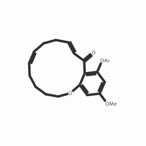 COc1cc2c(c(OC(C)=O)c1)C(=O)/C=C/CC/C=C\CCCCO2